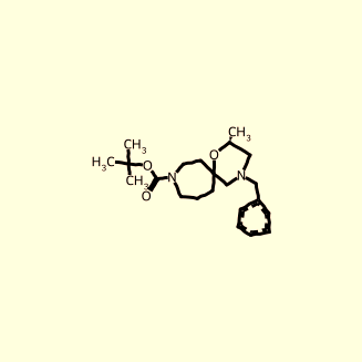 C[C@@H]1CN(Cc2ccccc2)CC2(CCCN(C(=O)OC(C)(C)C)CC2)O1